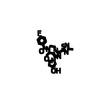 Cc1nsc(-c2nc(N3C[C@H](O)CC3=O)c3n2CCN(C(=O)c2ccc(F)cc2)C3C)n1